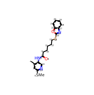 CSc1cc(C)c(NC(=O)CCCCCSc2nc3ccccc3o2)cn1